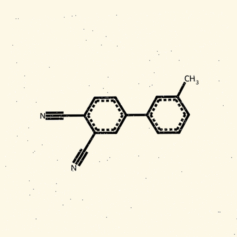 Cc1cccc(-c2ccc(C#N)c(C#N)c2)c1